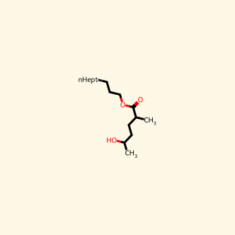 CCCCCCCCCCOC(=O)C(C)CCC(C)O